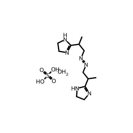 CC(CN=NCC(C)C1=NCCN1)C1=NCCN1.O.O=S(=O)(O)O